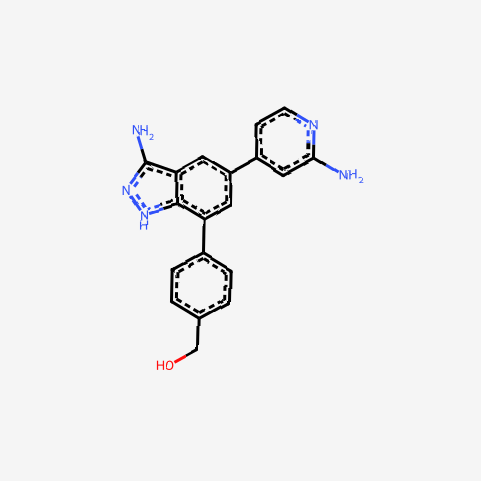 Nc1cc(-c2cc(-c3ccc(CO)cc3)c3[nH]nc(N)c3c2)ccn1